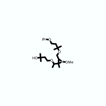 CON1C(COC(C)(C)CCOC(C)C)C1(C)C(C)OCCC(C)(C)O